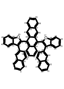 c1ccc2cc(-c3c(-c4c5ccccc5c(-c5oc6ccccc6c5-c5ccc6ccccc6c5)c5cc6ccccc6cc45)oc4ccccc34)ccc2c1